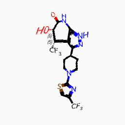 O=C1Nc2[nH]nc(C3CCN(c4nc(C(F)(F)F)cs4)CC3)c2[C@H](C(F)(F)F)[C@@H]1O